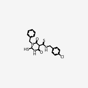 O=C1NC(S)N(Cc2ccccc2)C(=O)C1C(=S)NCc1ccc(Cl)cc1